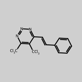 ClC(Cl)(Cl)c1nnnc(C=Cc2ccccc2)c1C(Cl)(Cl)Cl